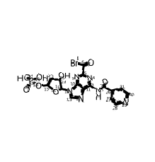 O=C(Nc1nc(C(=O)Br)nc2c1ncn2C1OC(OP(=O)(O)O)CC1O)c1ccncc1